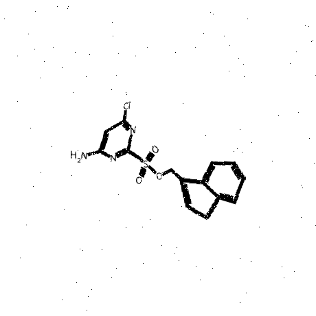 Nc1cc(Cl)nc(S(=O)(=O)OCC2=CCc3ccccc32)n1